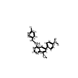 COc1cc(-c2ccc(N(C)C)cc2)cc2c(NCc3ccc(C)nn3)ncnc12